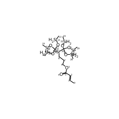 CC=CC(=O)OCCC[SiH](C(O[SiH2]C)(O[SiH2]C)O[SiH2]C)C(O[SiH2]C)(O[SiH2]C)O[SiH2]C